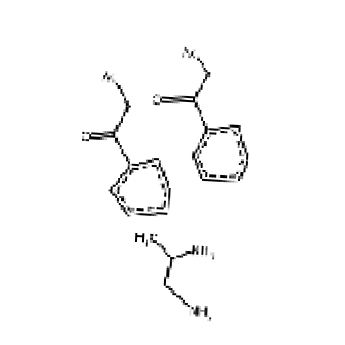 CC(=O)CC(=O)c1ccccc1.CC(=O)CC(=O)c1ccccc1.CC(N)CN